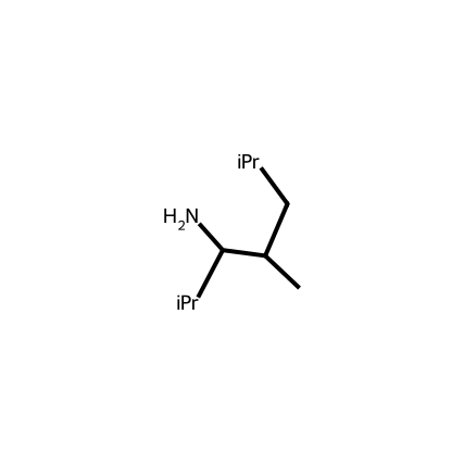 CC(C)CC(C)C(N)C(C)C